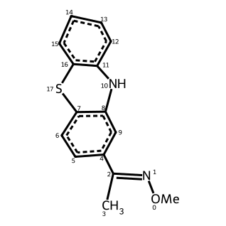 CON=C(C)c1ccc2c(c1)Nc1ccccc1S2